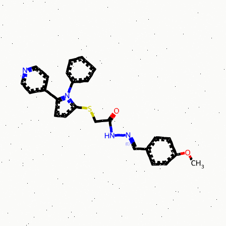 COc1ccc(/C=N/NC(=O)CSc2ccc(-c3ccncc3)n2-c2ccccc2)cc1